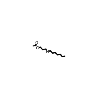 CCCCCCCN=CCCOC(C)=O